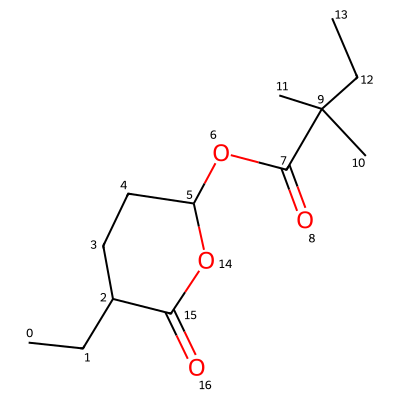 CCC1CCC(OC(=O)C(C)(C)CC)OC1=O